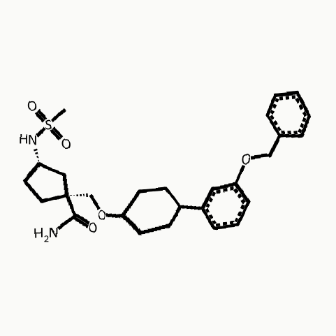 CS(=O)(=O)N[C@H]1CC[C@](COC2CCC(c3cccc(OCc4ccccc4)c3)CC2)(C(N)=O)C1